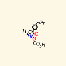 CC(C)Cc1ccc([C@@H](C)C(=O)NOCC(=O)O)cc1